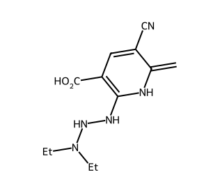 C=C1NC(NNN(CC)CC)=C(C(=O)O)C=C1C#N